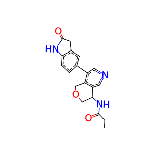 CCC(=O)NC1COCc2c(-c3ccc4c(c3)CC(=O)N4)cncc21